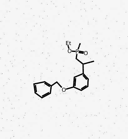 CCOP(C)(=O)CC(C)c1cccc(OCc2ccccc2)c1